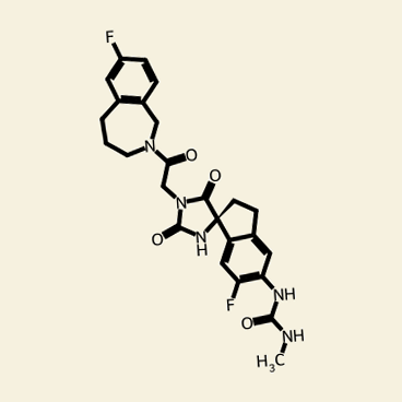 CNC(=O)Nc1cc2c(cc1F)[C@]1(CC2)NC(=O)N(CC(=O)N2CCCc3cc(F)ccc3C2)C1=O